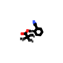 CC(C)(C)C(=O)[O-].N#CC1=CCCC[CH]1[Zn+]